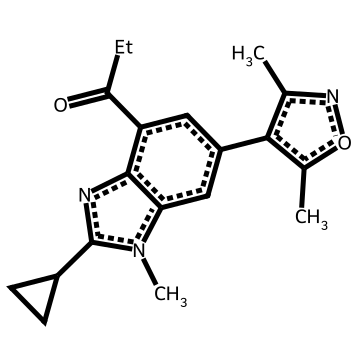 CCC(=O)c1cc(-c2c(C)noc2C)cc2c1nc(C1CC1)n2C